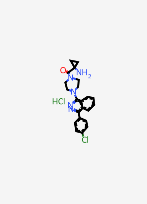 Cl.NC1(C(=O)N2CCN(c3nnc(-c4ccc(Cl)cc4)c4ccccc34)CC2)CC1